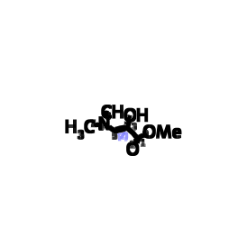 COC(=O)/C(O)=C/N(C)C